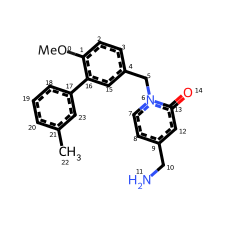 COc1ccc(Cn2ccc(CN)cc2=O)cc1-c1cccc(C)c1